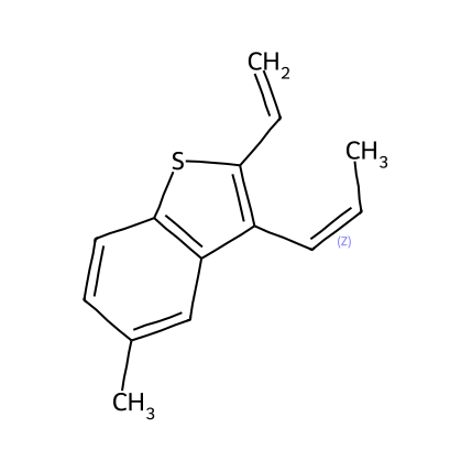 C=Cc1sc2ccc(C)cc2c1/C=C\C